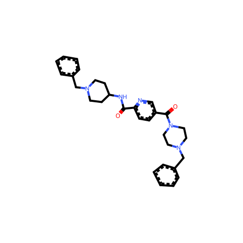 O=C(NC1CCN(Cc2ccccc2)CC1)c1ccc(C(=O)N2CCN(Cc3ccccc3)CC2)cn1